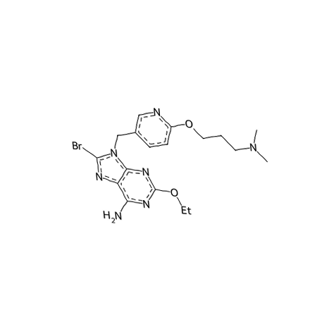 CCOc1nc(N)c2nc(Br)n(Cc3ccc(OCCCN(C)C)nc3)c2n1